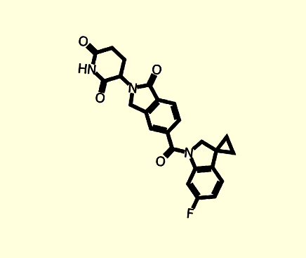 O=C1CCC(N2Cc3cc(C(=O)N4CC5(CC5)c5ccc(F)cc54)ccc3C2=O)C(=O)N1